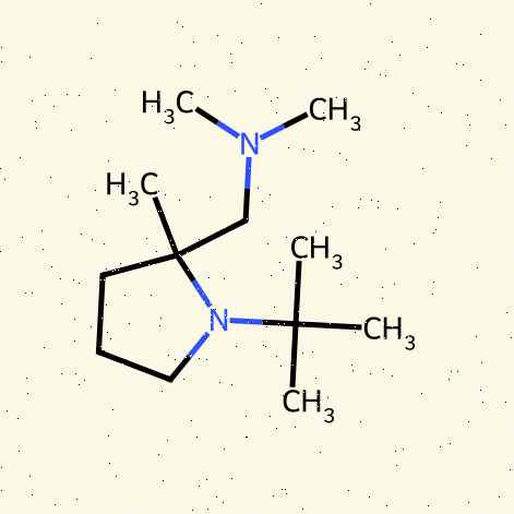 CN(C)CC1(C)CCCN1C(C)(C)C